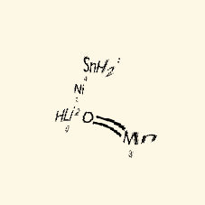 [LiH].[Ni].[O]=[Mn].[SnH2]